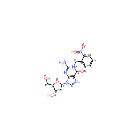 Nc1nc2c(ncn2[C@H]2C[C@H](O)[C@@H](CO)O2)c(=O)n1Cc1ccccc1[N+](=O)[O-]